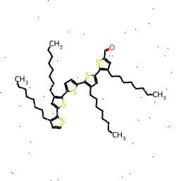 CCCCCCCCc1ccsc1-c1cc(CCCCCCCC)c(-c2ccc(-c3sc(-c4sc(C=O)cc4CCCCCCCC)cc3CCCCCCCC)s2)s1